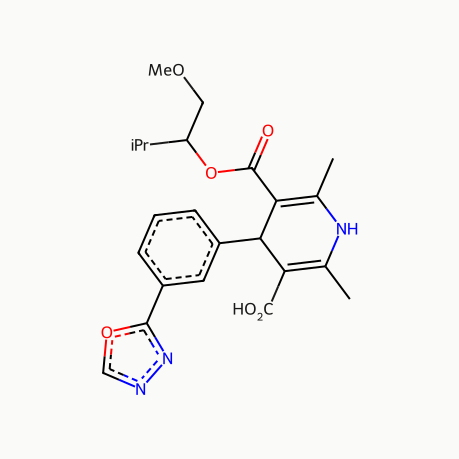 COCC(OC(=O)C1=C(C)NC(C)=C(C(=O)O)C1c1cccc(-c2nnco2)c1)C(C)C